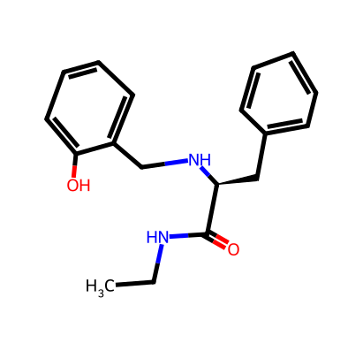 CCNC(=O)[C@H](Cc1ccccc1)NCc1ccccc1O